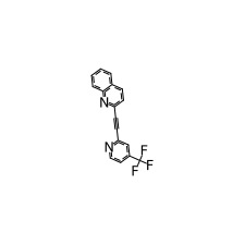 FC(F)(F)c1ccnc(C#Cc2ccc3ccccc3n2)c1